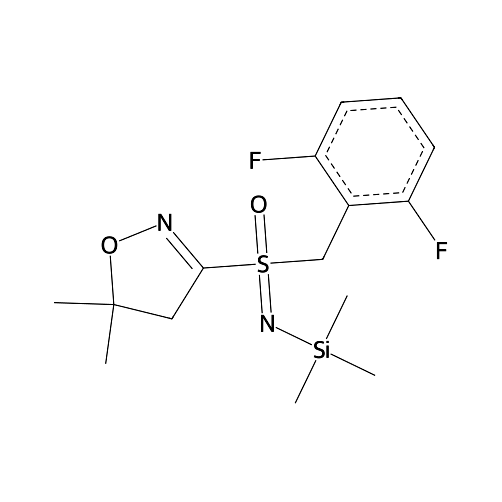 CC1(C)CC(S(=O)(Cc2c(F)cccc2F)=N[Si](C)(C)C)=NO1